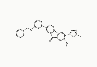 COc1cc2c(cc1-n1cnc(C)c1)-c1ccc(-c3cccc(OCc4ccccc4)c3)cc1C2=O